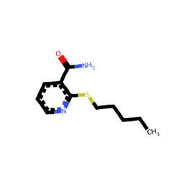 CCCCCSc1ncccc1C(N)=O